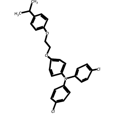 CC(C)c1ccc(OCCOc2ccc(N(c3ccc(Cl)cc3)c3ccc(Cl)cc3)cc2)cc1